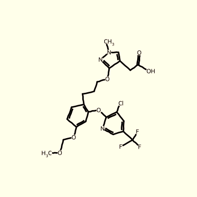 COCOc1ccc(CCCOc2nn(C)cc2CC(=O)O)c(Oc2ncc(C(F)(F)F)cc2Cl)c1